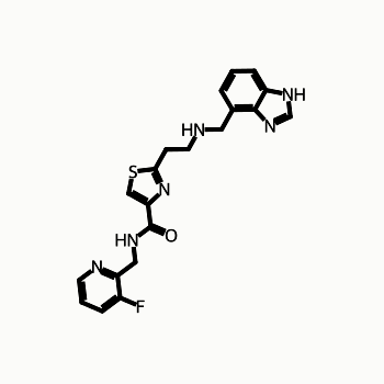 O=C(NCc1ncccc1F)c1csc(CCNCc2cccc3[nH]cnc23)n1